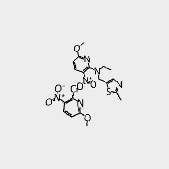 CCN(Cc1cnc(C)s1)c1nc(OC)ccc1[N+](=O)[O-].COc1ccc([N+](=O)[O-])c(Cl)n1